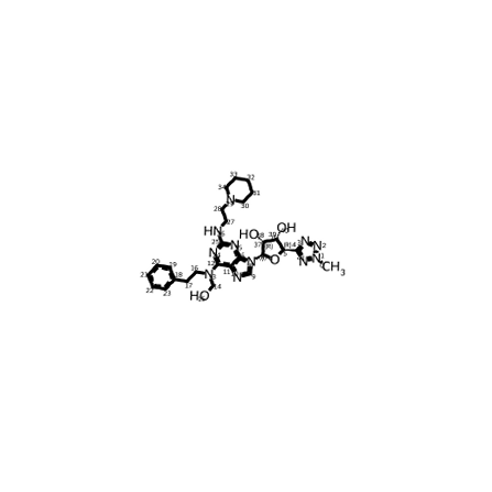 Cn1nnc([C@H]2O[C@@H](n3cnc4c(N(CO)CCc5ccccc5)nc(NCCN5CCCCC5)nc43)[C@H](O)[C@@H]2O)n1